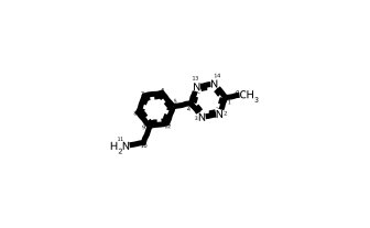 Cc1nnc(-c2cccc(CN)c2)nn1